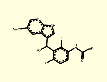 CCCC(=O)Nc1ccc(F)c(C(O)c2c[nH]c3ncc(OC)cc23)c1F